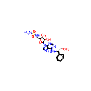 NS(=O)(=O)NCC1OC(n2cnc3c(N[C@H](CO)c4ccccc4)ncnc32)[C@H](O)[C@@H]1O